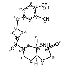 N#Cc1cc(OC2CN(C(=O)N3CC[C@@H]4OCC(=O)N[C@@H]4C3)C2)ccc1C(F)(F)F